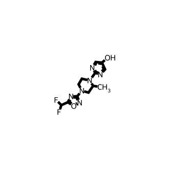 CC1CN(c2noc(C(F)F)n2)CCN1c1ncc(O)cn1